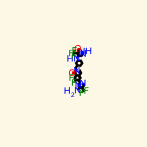 Nc1nc(-c2cc3ccn(CC4CCC[C@H](Nc5cn[nH]c(=O)c5C(F)(F)F)C4)c(=O)c3c(F)c2F)ncc1C(F)F